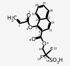 C=CC(=O)Oc1c(C(=O)OCC(F)(F)S(=O)(=O)O)ccc2ccccc12